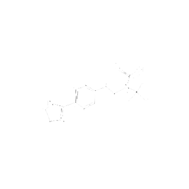 CC(C)(C)N(CCc1ccc(C2=NCCN2)cc1)C(=O)O